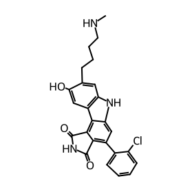 CNCCCCc1cc2[nH]c3cc(-c4ccccc4Cl)c4c(c3c2cc1O)C(=O)NC4=O